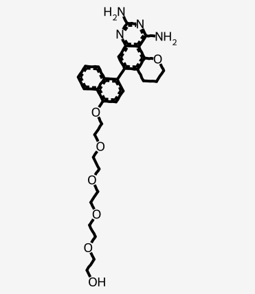 Nc1nc(N)c2c3c(c(-c4ccc(OCCOCCOCCOCCOCCO)c5ccccc45)cc2n1)CCCO3